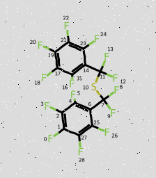 Fc1c(F)c(F)c(C(F)(F)SC(F)(F)c2c(F)c(F)c(F)c(F)c2F)c(F)c1F